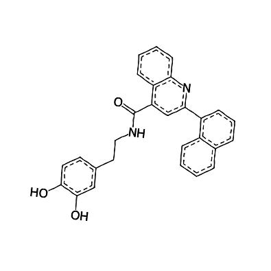 O=C(NCCc1ccc(O)c(O)c1)c1cc(-c2cccc3ccccc23)nc2ccccc12